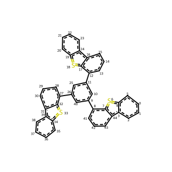 c1ccc2c(c1)sc1c(-c3cc(-c4cccc5c4sc4ccccc45)cc(-c4cccc5c4sc4ccccc45)c3)cccc12